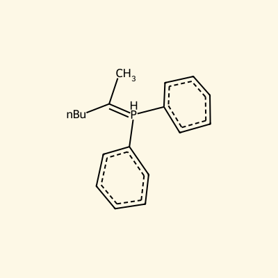 CCCCC(C)=[PH](c1ccccc1)c1ccccc1